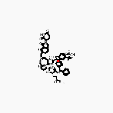 NC(=O)CC[C@H](NC(=O)[C@@H]1CC[C@@H]2CCN(Cc3ccc4c(c3F)C(=O)N(C3CCC(=O)NC3=O)C4)C[C@H](NC(=O)c3cc4cc(C(F)(F)P(=O)(O)O)ccc4[nH]3)C(=O)N21)C(=O)NC(c1ccccc1)c1ccccc1